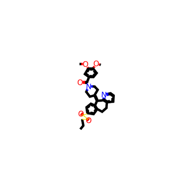 CCCS(=O)(=O)c1ccc2c(c1)CCc1cccnc1C2=C1CCN(C(=O)c2ccc(OC)c(OC)c2)CC1